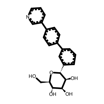 OC[C@H]1O[C@H](c2cccc(-c3ccc(-c4cccnc4)cc3)c2)[C@@H](O)[C@@H](O)[C@@H]1O